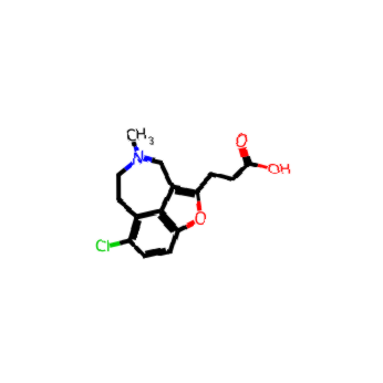 CN1CCc2c(Cl)ccc3oc(CCC(=O)O)c(c23)C1